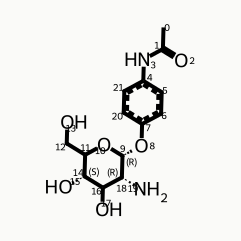 CC(=O)Nc1ccc(O[C@H]2OC(CO)[C@@H](O)C(O)[C@H]2N)cc1